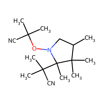 CC1CN(OC(C)(C)C#N)C(C)(C(C)(C)C#N)C1(C)C